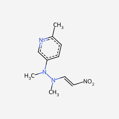 Cc1ccc(N(C)N(C)C=C[N+](=O)[O-])cn1